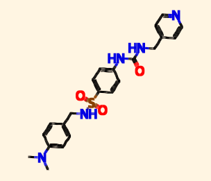 CN(C)c1ccc(CNS(=O)(=O)c2ccc(NC(=O)NCc3ccncc3)cc2)cc1